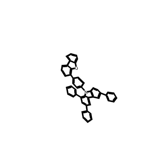 c1ccc(-c2ccc3c(c2)c2cc(-c4ccccc4)cc(-c4ccccc4)c2n3-c2ccc(-c3cccc4c3oc3ccccc34)cc2)cc1